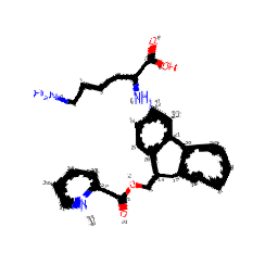 NCCCCC(N)C(=O)O.O=C(OCC1c2ccccc2-c2ccccc21)c1ccccn1